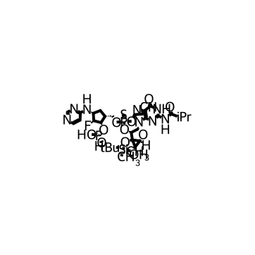 CC(C)C(=O)Nc1nc2c(ncn2[C@@H]2O[C@@H]3C(O)C3(O[Si](C)(C)C(C)(C)C)[C@H]2OP(=S)(OCCC#N)OC[C@H]2C[C@@H](Nc3ccncn3)[C@H](F)[C@@H]2O[PH](=O)O)c(=O)[nH]1